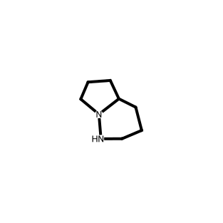 C1CNN2CCCC2C1